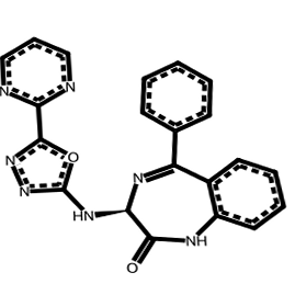 O=C1Nc2ccccc2C(c2ccccc2)=N[C@@H]1Nc1nnc(-c2ncccn2)o1